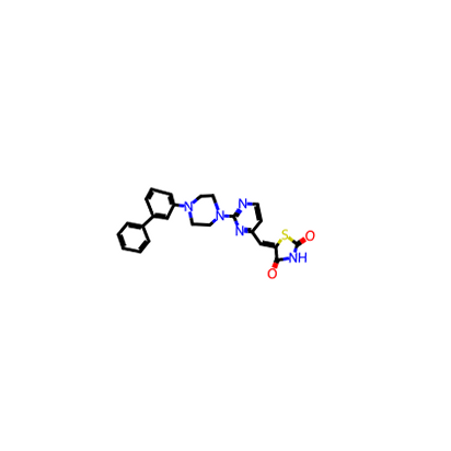 O=C1NC(=O)/C(=C/c2ccnc(N3CCN(c4cccc(-c5ccccc5)c4)CC3)n2)S1